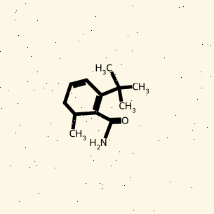 CC1CC=CC(C(C)(C)C)=C1C(N)=O